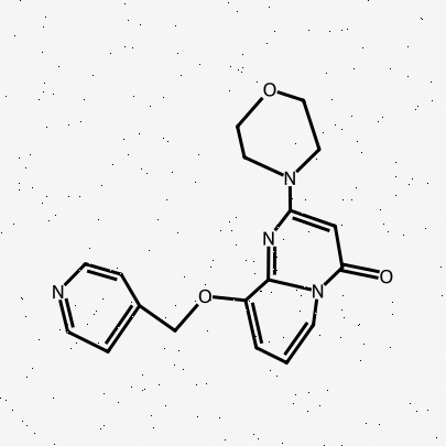 O=c1cc(N2CCOCC2)nc2c(OCc3ccncc3)cccn12